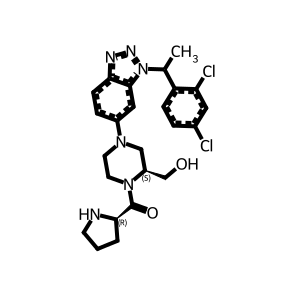 CC(c1ccc(Cl)cc1Cl)n1nnc2ccc(N3CCN(C(=O)[C@H]4CCCN4)[C@H](CO)C3)cc21